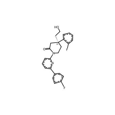 O=C1C[C@@](CCO)(c2ccccc2F)CCN1c1cccc(-c2ccc(F)cc2)n1